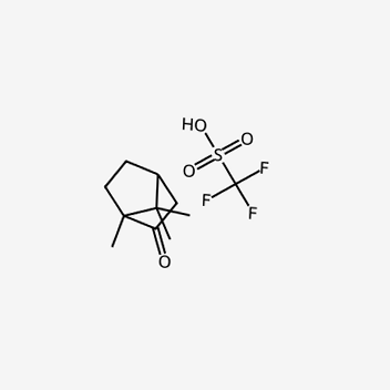 CC12CCC(CC1=O)C2(C)C.O=S(=O)(O)C(F)(F)F